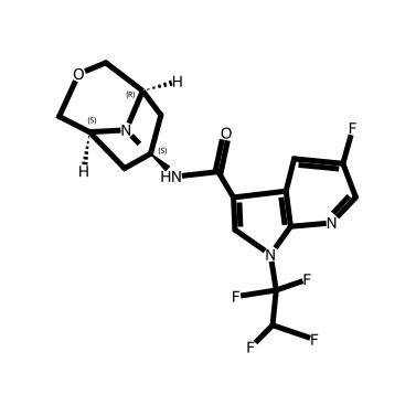 CN1[C@@H]2COC[C@H]1C[C@@H](NC(=O)c1cn(C(F)(F)C(F)F)c3ncc(F)cc13)C2